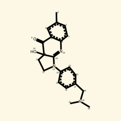 Cc1ccc2c(c1)C(=O)C1(O)CCN(c3ccc(CN(C)C)cc3)C1=N2